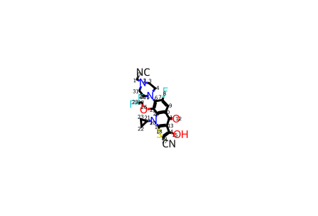 [C-]#[N+]CN1CCN(c2c(F)cc3c(=O)c4c(O)c(C#N)sc4n(C4CC4)c3c2OC(F)F)CC1